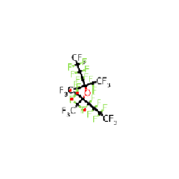 FC(F)(F)C(F)(F)C(F)(F)C(F)(F)C(OC(C(F)(F)C(F)(F)F)(C(F)(F)C(F)(F)F)C(F)(F)C(F)(F)C(F)(F)C(F)(F)F)(C(F)(F)C(F)(F)F)C(F)(F)C(F)(F)F